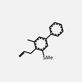 C=CCc1c(C)cc(-c2ccccc2)cc1SC